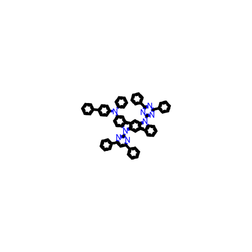 c1ccc(-c2ccc(N(c3ccccc3)c3ccc4c(c3)c3cc5c(cc3n4-c3nc(-c4ccccc4)cc(-c4ccccc4)n3)c3ccccc3n5-c3nc(-c4ccccc4)nc(-c4ccccc4)n3)cc2)cc1